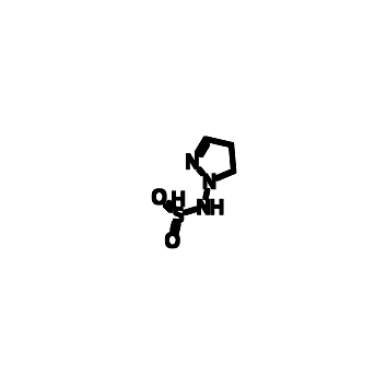 O=[SH](=O)NN1CCC=N1